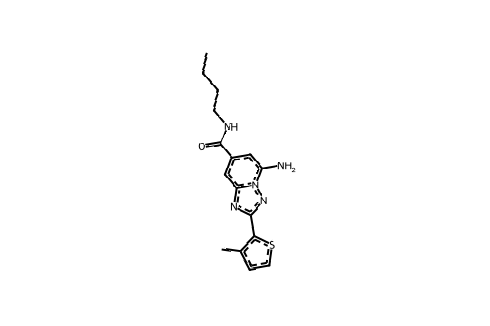 CCCCNC(=O)c1cc(N)n2nc(-c3sccc3C)nc2c1